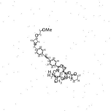 COCCOC1CN(Cc2ccc(C#Cc3ccc(C(=O)N(C)[C@@H](C(=O)N(C)N)C(=O)N(N)OC4CCCCO4)cc3)cc2)C1